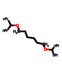 CCCC(CCC)O[SiH2]CCCC[SiH2]OC(CCC)CCC